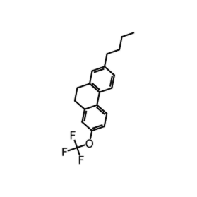 CCCCc1ccc2c(c1)CCc1cc(OC(F)(F)F)ccc1-2